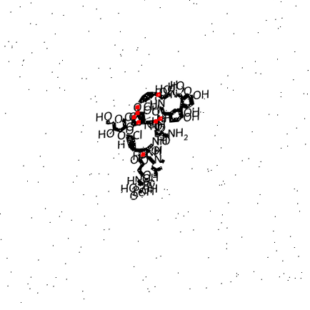 CN[C@H](CC(C)C)C(=O)N[C@H]1C(=O)N[C@@H](CC(N)=O)C(=O)N[C@H]2C(=O)N[C@H]3C(=O)N[C@H](C(=O)N[C@H](C(=O)O)c4cc(O)cc(O)c4-c4cc3ccc4O)[C@H](O)c3ccc(c(Cl)c3)Oc3cc2cc(c3O[C@@H]2O[C@H](CO)[C@@H](O)[C@H](O)[C@H]2O[C@H]2C[C@](C)(N)[C@H](O)[C@H](C)O2)Oc2ccc(cc2Cl)[C@H]1OC(=O)CCC(=O)NC(P(=O)(O)O)P(=O)(O)O